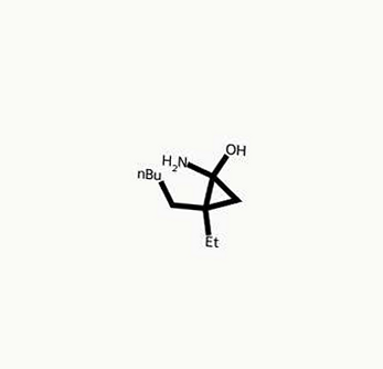 CCCCCC1(CC)CC1(N)O